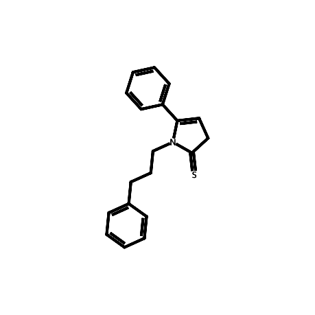 S=C1CC=C(c2ccccc2)N1CCCc1ccccc1